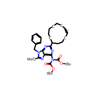 COc1nc2c(N(C(=O)OC(C)(C)C)C(=O)OC(C)(C)C)nc(C3CCC/C=C\CCCCCC3)nc2n1Cc1ccccc1